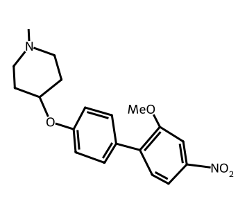 COc1cc([N+](=O)[O-])ccc1-c1ccc(OC2CCN(C)CC2)cc1